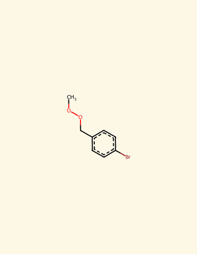 COOCc1ccc(Br)cc1